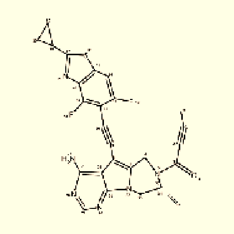 CC#CC(=O)N1Cc2c(C#Cc3c(F)cc4sc(C5CC5)nc4c3F)c3c(N)ncnc3n2C[C@H]1C